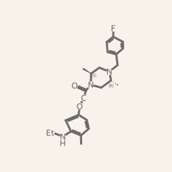 CCNc1cc(OCC(=O)N2C[C@@H](C)N(Cc3ccc(F)cc3)C[C@@H]2C)ccc1C